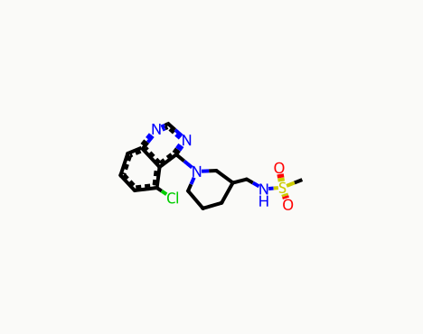 CS(=O)(=O)NCC1CCCN(c2ncnc3cccc(Cl)c23)C1